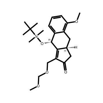 COCOCC1=C2[C@H](CC1=O)Cc1c(OC)cccc1[C@H]2O[Si](C)(C)C(C)(C)C